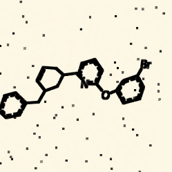 Brc1cccc(Oc2cccc(C3CC=CC(Cc4ccccc4)C3)n2)c1